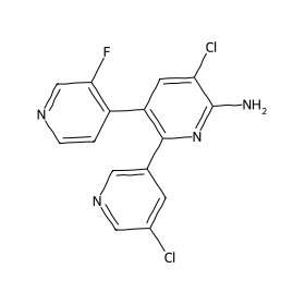 Nc1nc(-c2cncc(Cl)c2)c(-c2ccncc2F)cc1Cl